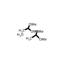 COC(C)OC.COC(C)OC.O